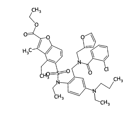 CCCN(CC)c1ccc(N(CC)S(=O)(=O)c2ccc3oc(C(=O)OCC)c(C)c3c2CC)c(CN(Cc2ccco2)C(=O)c2ccccc2Cl)c1